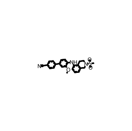 COc1cc(-c2ccc(C#N)cc2)ccc1Nc1cccc2c1CCN(S(C)(=O)=O)C2